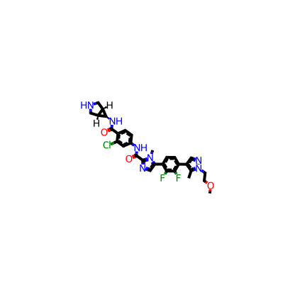 COCCn1ncc(-c2ccc(-c3cnc(C(=O)Nc4ccc(C(=O)N[C@H]5[C@@H]6CNC[C@@H]65)c(Cl)c4)n3C)c(F)c2F)c1C